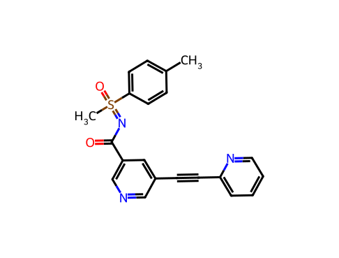 Cc1ccc(S(C)(=O)=NC(=O)c2cncc(C#Cc3ccccn3)c2)cc1